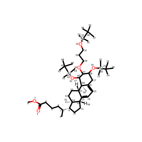 COC(=O)CCCC(C)[C@H]1CC[C@H]2C3=CC=C4CC(O[Si](C)(C)C(C)(C)C)C(OCCCO[Si](C)(C)C(C)(C)C)C(O[Si](C)(C)C(C)(C)C)[C@]4(C)[C@H]3CC[C@]12C